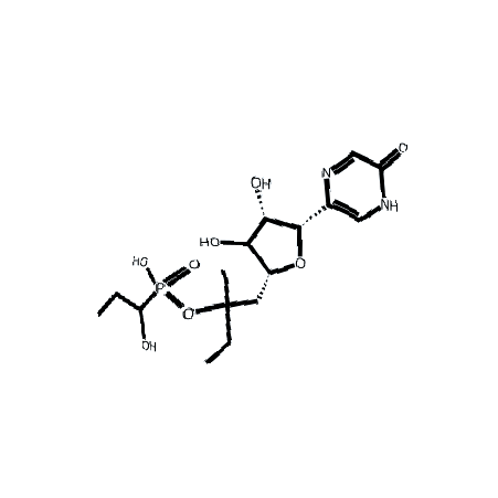 CCC(O)P(=O)(O)OC(C)(CC)C[C@H]1O[C@@H](c2c[nH]c(=O)cn2)[C@@H](O)C1O